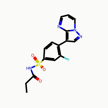 CCC(=O)NS(=O)(=O)c1ccc(-c2cnn3[c]ccnc23)c(F)c1